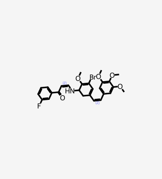 COC1=C(Br)C=C(/C=C\c2cc(OC)c(OC)c(OC)c2)CC1N/C=C\C(=O)c1cccc(F)c1